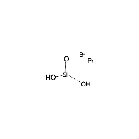 O=[Si](O)O.[B].[P]